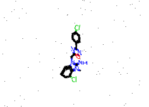 Cn1c(=N)n(Cc2nc(-c3ccc(Cl)cc3)no2)c2cccc(Cl)c21